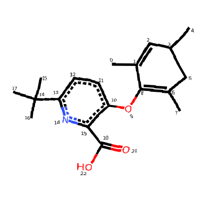 CC1=CC(C)CC(C)=C1Oc1ccc(C(C)(C)C)nc1C(=O)O